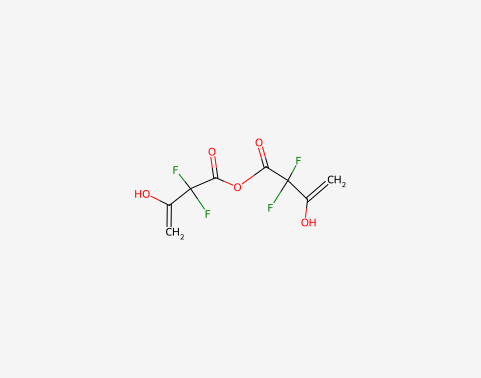 C=C(O)C(F)(F)C(=O)OC(=O)C(F)(F)C(=C)O